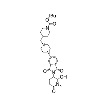 CN1C(=O)CCC(N2C(=O)c3ccc(N4CCN(CC5CCN(C(=O)OC(C)(C)C)CC5)CC4)cc3C2=O)C1O